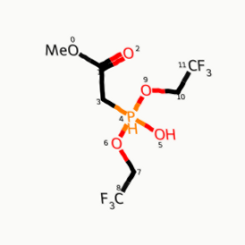 COC(=O)C[PH](O)(OCC(F)(F)F)OCC(F)(F)F